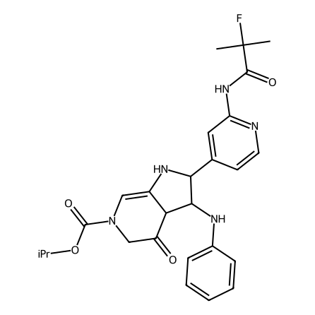 CC(C)OC(=O)N1C=C2NC(c3ccnc(NC(=O)C(C)(C)F)c3)C(Nc3ccccc3)C2C(=O)C1